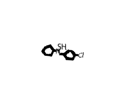 SN(Cc1ccc(Cl)cc1)C1CCCCC1